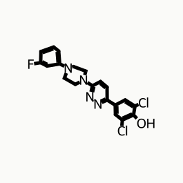 Oc1c(Cl)cc(-c2ccc(N3CCN(c4cccc(F)c4)CC3)nn2)cc1Cl